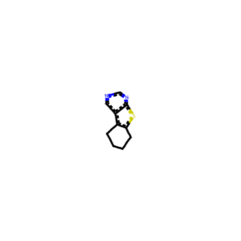 [c]1ncnc2sc3c(c12)CCCC3